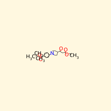 CCOC(=O)CC(=O)C1CCN(c2ccc(C(=O)OC(C)(C)C)cc2)CC1